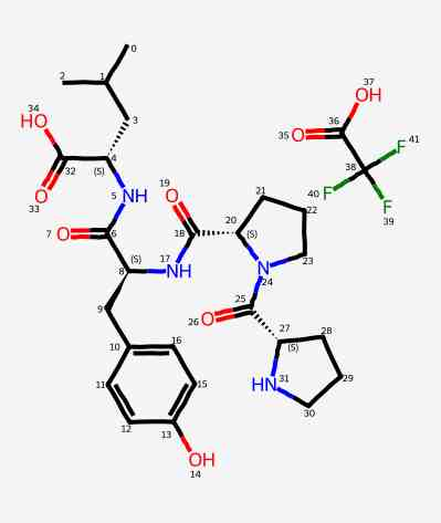 CC(C)C[C@H](NC(=O)[C@H](Cc1ccc(O)cc1)NC(=O)[C@@H]1CCCN1C(=O)[C@@H]1CCCN1)C(=O)O.O=C(O)C(F)(F)F